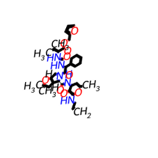 C=CCNC(=O)C(=O)C(CCC)NC(=O)[C@@H]1[C@H]2CC(C)(C)O[C@H]2CN1C(=O)[C@@H](NC(=O)N[C@H](C(=O)OCc1ccco1)C(C)C)C1CCCCC1